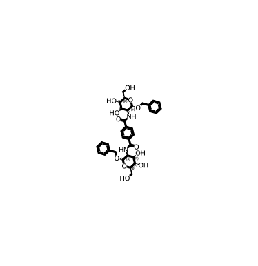 O=C(N[C@@H]1[C@@H](OCc2ccccc2)O[C@H](CO)[C@@H](O)[C@@H]1O)c1ccc(C(=O)N[C@@H]2[C@@H](OCc3ccccc3)O[C@H](CO)[C@@H](O)[C@@H]2O)cc1